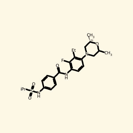 CCc1c(N2CC(C)O[C@@H](C)C2)ccc(NC(=O)c2ccc(NS(=O)(=O)C(C)C)cc2)c1F